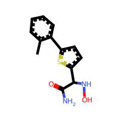 Cc1ccccc1-c1ccc(C(NO)C(N)=O)s1